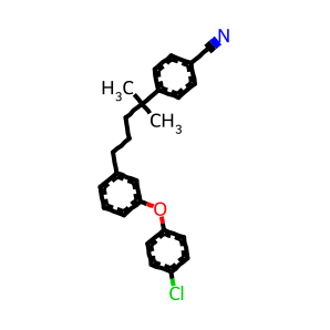 CC(C)(CCCc1cccc(Oc2ccc(Cl)cc2)c1)c1ccc(C#N)cc1